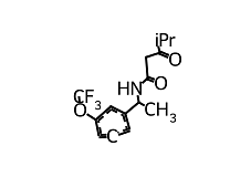 CC(C)C(=O)CC(=O)NC(C)c1cccc(OC(F)(F)F)c1